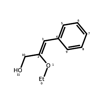 CCO/C(=C\c1ccccc1)CO